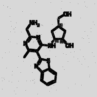 Cc1nc(CN)nc(N[C@@H]2C[C@H](CO)C[C@H]2O)c1-c1nc2ccccc2s1